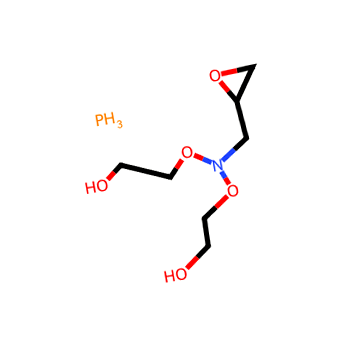 OCCON(CC1CO1)OCCO.P